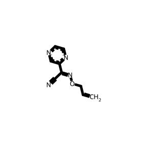 C=CCON=C(C#N)c1cnccn1